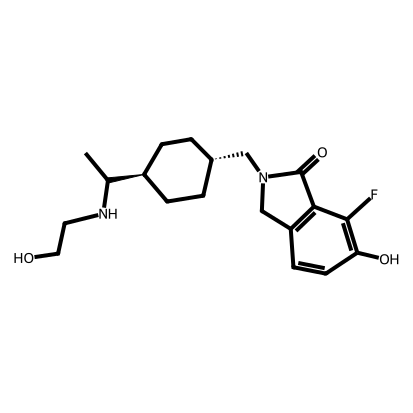 CC(NCCO)[C@H]1CC[C@H](CN2Cc3ccc(O)c(F)c3C2=O)CC1